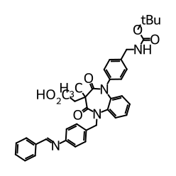 CC(C)(C)OC(=O)NCc1ccc(N2C(=O)C(C)(CC(=O)O)C(=O)N(Cc3ccc(N=Cc4ccccc4)cc3)c3ccccc32)cc1